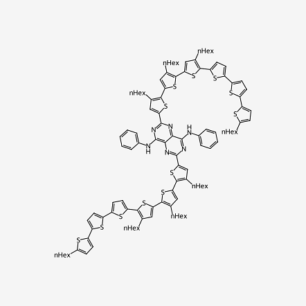 CCCCCCc1ccc(-c2ccc(-c3ccc(-c4sc(-c5sc(-c6sc(-c7nc(Nc8ccccc8)c8nc(-c9cc(CCCCCC)c(-c%10cc(CCCCCC)c(-c%11cc(CCCCCC)c(-c%12ccc(-c%13ccc(-c%14ccc(CCCCCC)s%14)s%13)s%12)s%11)s%10)s9)nc(Nc9ccccc9)c8n7)cc6CCCCCC)cc5CCCCCC)cc4CCCCCC)s3)s2)s1